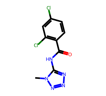 Cn1nnnc1NC(=O)c1ccc(Cl)cc1Cl